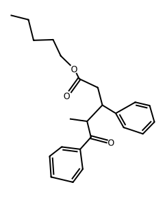 CCCCCOC(=O)CC(c1ccccc1)C(C)C(=O)c1ccccc1